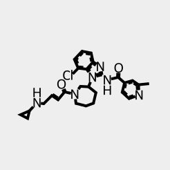 Cc1cc(C(=O)Nc2nc3cccc(Cl)c3n2C2CCCCN(C(=O)C=CCNC3CC3)C2)ccn1